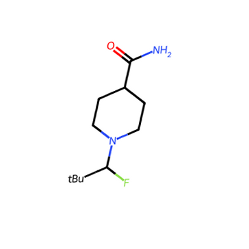 CC(C)(C)C(F)N1CCC(C(N)=O)CC1